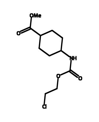 COC(=O)C1CCC(NC(=O)OCCCl)CC1